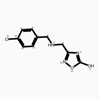 Oc1nc(CNCc2ccc(Cl)cc2)no1